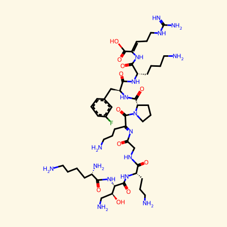 N=C(N)NCC/C=C(\NC(=O)[C@H](CCCCN)NC(=O)[C@H](Cc1cccc(F)c1)NC(=O)[C@@H]1CCCN1C(=O)/C(CCCN)=N/C(=O)CNC(=O)[C@H](CCCN)NC(=O)[C@@H](NC(=O)[C@@H](N)CCCCN)[C@@H](O)CN)C(=O)O